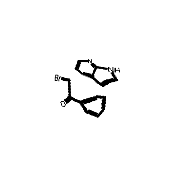 O=C(CBr)c1ccccc1.c1cnc2[nH]ccc2c1